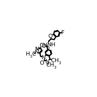 Cc1cc(CN2C(=O)N(C)C(C)c3ccc(C(=O)NCC4Cc5cc(F)ccc5O4)cc32)n(C)n1